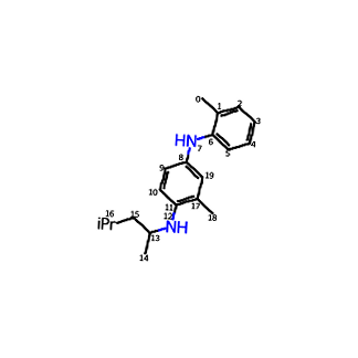 Cc1ccccc1Nc1ccc(NC(C)CC(C)C)c(C)c1